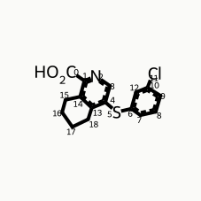 O=C(O)c1ncc(Sc2cccc(Cl)c2)c2c1CCCC2